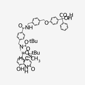 CC(C)(C)OC(=O)N(Cc1ccc(C(=O)NCc2ccc(COc3ccc(C(O)(C(=O)O)c4ccccc4)cc3)cc2)cc1)C[C@H](O[Si](C)(C)C(C)(C)C)c1ccc(O)c2[nH]c(=O)ccc12